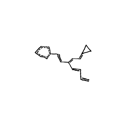 C=CC=CC(C=Cc1ccccc1)=CC=C1CC1